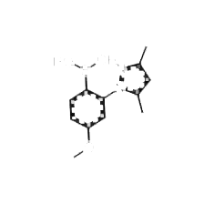 COc1ccc(B(O)O)c(-n2nc(C)cc2C)c1